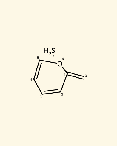 C=C1C=CC=CO1.S